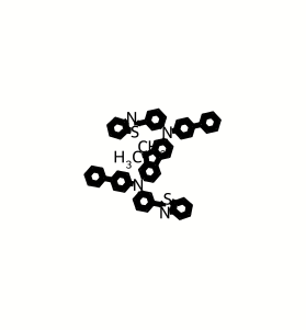 CC1(C)c2cc(N(c3ccc(-c4ccccc4)cc3)c3cccc(-c4nc5ccccc5s4)c3)ccc2-c2ccc(N(c3ccc(-c4ccccc4)cc3)c3cccc(-c4nc5ccccc5s4)c3)cc21